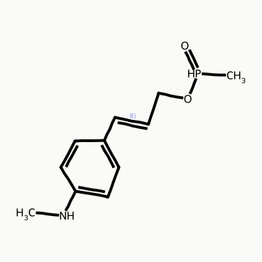 CNc1ccc(/C=C/CO[PH](C)=O)cc1